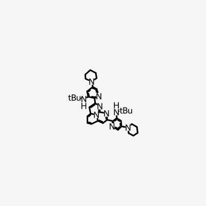 CC(C)(C)Nc1cc(N2CCCCC2)cnc1C1=CC2=CC=CC3=CC(c4ncc(N5CCCCC5)cc4NC(C)(C)C)=NC(=N1)N23